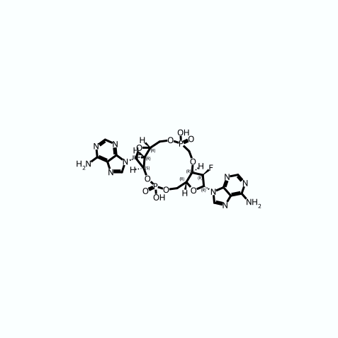 Nc1ncnc2c1ncn2[C@@H]1O[C@@H]2COP(=O)(O)O[C@@H]3[C@H](F)[C@@H](COP(=O)(O)CO[C@H]2[C@H]1F)O[C@H]3n1cnc2c(N)ncnc21